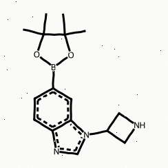 CC1(C)OB(c2ccc3ncn(C4CNC4)c3c2)OC1(C)C